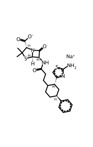 CC1(C)S[C@@H]2[C@H](NC(=O)CCC3CC[C@H](c4ccccc4)C[C@H]3c3csc(N)n3)C(=O)N2[C@H]1C(=O)[O-].[Na+]